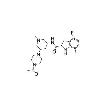 CC(=O)N1CCN(C2C[C@@H](NC(=O)C3Cc4c(F)ccc(C)c4N3)CN(C)C2)CC1